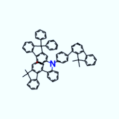 CC1(C)c2ccccc2-c2c(-c3ccccc3N(c3ccc(-c4cccc5c4C(C)(C)c4ccccc4-5)cc3)c3ccc4c(c3)C(c3ccccc3)(c3ccccc3)c3ccccc3-4)cccc21